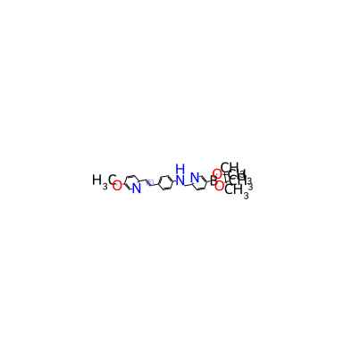 COc1ccc(/C=C/c2ccc(NCc3ccc(B4OC(C)(C)C(C)(C)O4)cn3)cc2)nc1